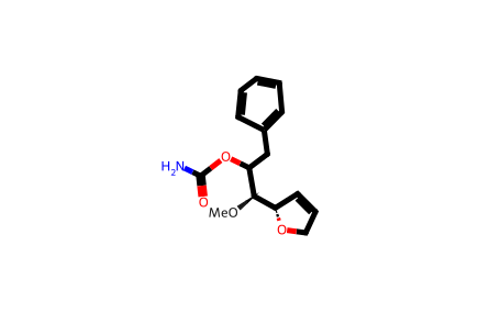 CO[C@@H](C(Cc1ccccc1)OC(N)=O)[C@@H]1C=CCO1